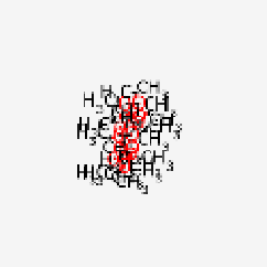 CC(C)[O][Ti]([O]C(C)C)([O]C(C)C)[O][Ti]([O]C(C)C)([O]C(C)C)[O][Ti]([O]C(C)C)([O]C(C)C)[O][Ti]([O]C(C)C)([O]C(C)C)[O]C(C)C